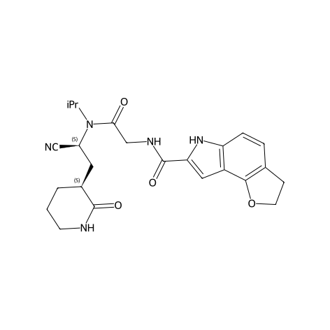 CC(C)N(C(=O)CNC(=O)c1cc2c3c(ccc2[nH]1)CCO3)[C@H](C#N)C[C@@H]1CCCNC1=O